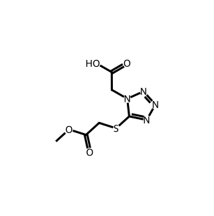 COC(=O)CSc1nnnn1CC(=O)O